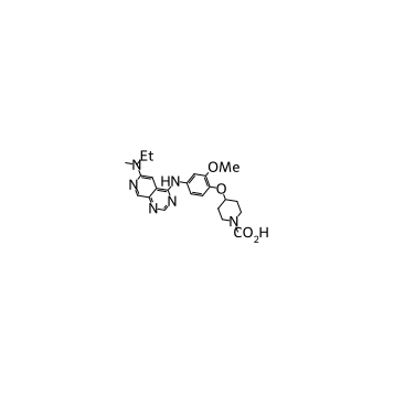 CCN(C)c1cc2c(Nc3ccc(OC4CCN(C(=O)O)CC4)c(OC)c3)ncnc2cn1